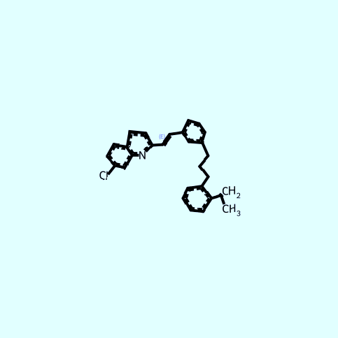 C=C(C)c1ccccc1CCCc1cccc(/C=C/c2ccc3ccc(Cl)cc3n2)c1